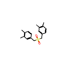 Cc1ccc(CS(=O)(=O)Cc2ccc(C)c(C)c2)cc1C